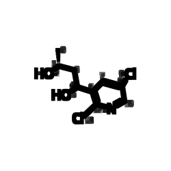 C[C@@H](O)CC(O)c1cc(Cl)cnc1Cl